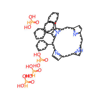 C1=Cc2cc3c(-c4ccccc4)c(-c4ccccc4)c(c(-c4ccccc4)c4nc(cc5ccc(cc1n2)[nH]5)C=C4)n3-c1ccccc1.O=[PH](O)O.O=[PH](O)O.O=[PH](O)O.O=[PH](O)O